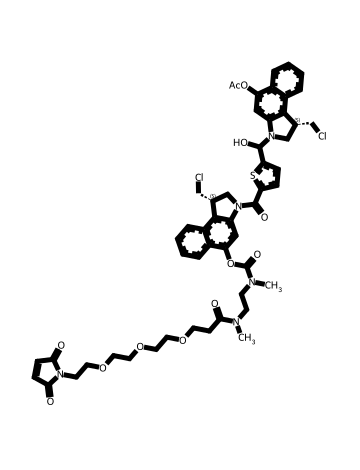 CC(=O)Oc1cc2c(c3ccccc13)[C@H](CCl)CN2C(O)c1ccc(C(=O)N2C[C@@H](CCl)c3c2cc(OC(=O)N(C)CCN(C)C(=O)CCOCCOCCOCCN2C(=O)C=CC2=O)c2ccccc32)s1